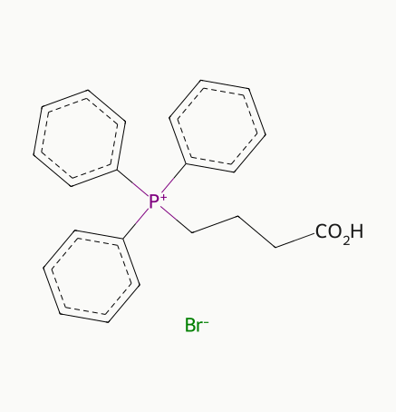 O=C(O)CCC[P+](c1ccccc1)(c1ccccc1)c1ccccc1.[Br-]